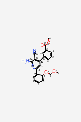 COCOc1ccccc1-c1cc(-c2cccc(C(=O)OC)c2)c(C#N)c(N)n1